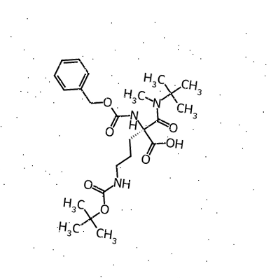 CN(C(=O)[C@](CCCNC(=O)OC(C)(C)C)(NC(=O)OCc1ccccc1)C(=O)O)C(C)(C)C